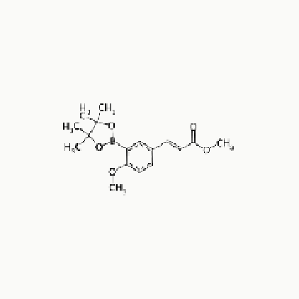 COC(=O)/C=C/c1ccc(OC)c(B2OC(C)(C)C(C)(C)O2)c1